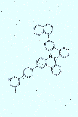 Cc1cncc(-c2ccc(-c3ccc4c(c3)-c3ccccc3B3c5ccccc5-c5cc(-c6cccc7ccccc67)ccc5N34)cc2)c1